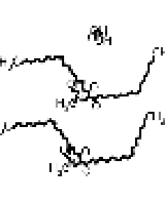 CCCCCCCC/C=C\CCCCCCCC(=O)C(CN(C)CCO)C(=O)CCCCCCC/C=C\CCCCCCCC.CCCCCCCC/C=C\CCCCCCCC(=O)C(CN(C)CCO)C(=O)CCCCCCC/C=C\CCCCCCCC.O=S(=O)(O)O